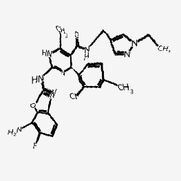 CCn1cc(CNC(=O)C2=C(C)NC(Nc3nc4ccc(F)c(N)c4o3)=N[C@@H]2c2ccc(C)cc2Cl)cn1